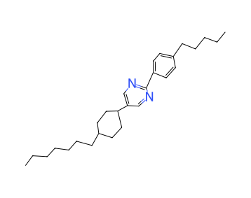 CCCCCCCC1CCC(c2cnc(-c3ccc(CCCCC)cc3)nc2)CC1